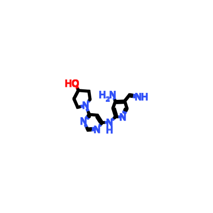 N=Cc1cnc(Nc2cc(N3CCC(O)CC3)ncn2)cc1N